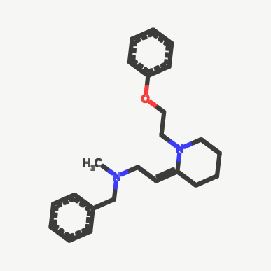 CN(CC=C1CCCCN1CCOc1ccccc1)Cc1ccccc1